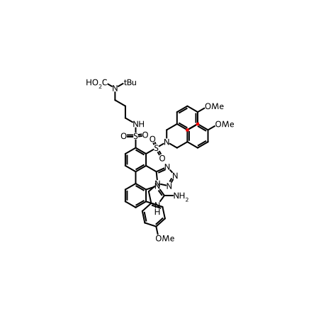 COc1ccc(CN(Cc2ccc(OC)cc2)S(=O)(=O)c2c(S(=O)(=O)NCCCN(C(=O)O)C(C)(C)C)ccc(-c3cccc4[nH]c(N)nc34)c2-c2nnnn2Cc2ccc(OC)cc2)cc1